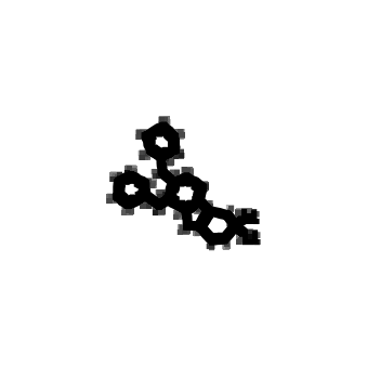 CCC1(CC)C=CC2=C(C1)c1ccc(Cc3ccccc3)c(Cc3ccccc3)c1C2